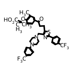 Cc1cc(C(=O)CCc2sc(-c3ccc(C(F)(F)F)cc3)nc2CN2CCN(c3ccc(C(F)(F)F)cc3)CC2)ccc1OC(C)(C)C(=O)O